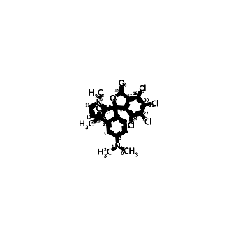 CN(C)c1ccc(C2(c3cccn3C)OC(=O)c3c(Cl)c(Cl)c(Cl)c(Cl)c32)c(N(C)C)c1